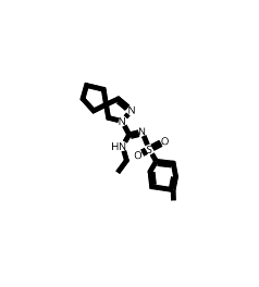 CCN/C(=N\S(=O)(=O)c1ccc(C)cc1)N1CC2(C=N1)CCCC2